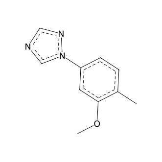 COc1cc(-n2cncn2)ccc1C